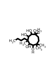 CCCCC1(C)C(O)C(O)C(C)(C)CCC(C)(C)C(O)C1O